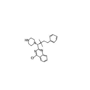 CC(C)(CCc1ccccc1)[C@@H](c1nc(Cl)c2ccccc2n1)N1CCNCC1